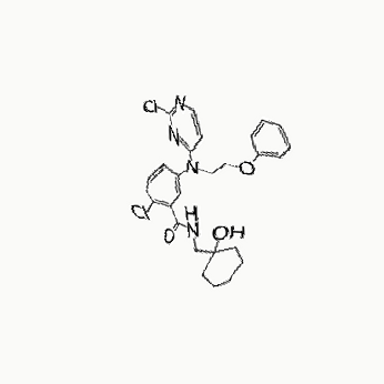 O=C(NCC1(O)CCCCC1)c1cc(N(CCOc2ccccc2)c2ccnc(Cl)n2)ccc1Cl